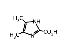 Cc1nc(C(=O)O)[nH]c1C